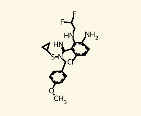 COc1ccc(CN(SC2CC2)C(=N)c2c(Cl)ccc(N)c2NCC(F)F)cc1